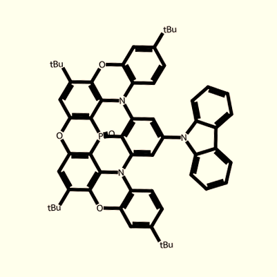 CC(C)(C)c1ccc2c(c1)Oc1c(C(C)(C)C)cc3c4c1N2c1cc(-n2c5ccccc5c5ccccc52)cc2c1P4(=O)c1c(cc(C(C)(C)C)c4c1N2c1ccc(C(C)(C)C)cc1O4)O3